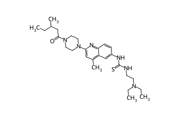 CCC(C)CC(=O)N1CCN(c2cc(C)c3cc(NC(=S)NCCN(CC)CC)ccc3n2)CC1